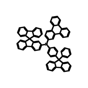 c1ccc(C2(c3ccc(N(c4ccc5c(c4)C4(c6ccccc6-c6ccccc64)c4ccccc4-5)c4ccc5c6ccccc6c6ccccc6c5c4)cc3)c3ccccc3-c3ccccc32)cc1